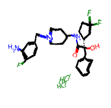 Cl.Cl.Nc1cc(CN2CCC(NC(=O)C(O)(c3ccccc3)[C@@H]3CCC(F)(F)C3)CC2)ccc1F